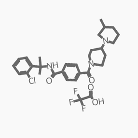 CC1CCCN(C2CCN(C(=O)c3ccc(C(=O)NC(C)(C)c4ccccc4Cl)cc3)CC2)C1.O=C(O)C(F)(F)F